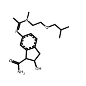 CC(=Nc1ccc2c(c1)C(C(N)=O)C(O)C2)N(C)CCOCC(C)C